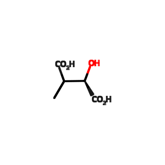 CC(C(=O)O)[C@@H](O)C(=O)O